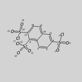 O=S(=O)(Cl)c1ccc2c(S(=O)(=O)Cl)c(S(=O)(=O)Cl)ccc2c1